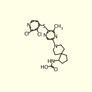 Cc1nc(N2CCC3(CCCC3NC(=O)O)CC2)cnc1Sc1ccnc(Cl)c1Cl